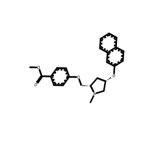 COC(=O)c1ccc(OC[C@@H]2C[C@H](Oc3ccc4ccccc4c3)CN2C)cc1